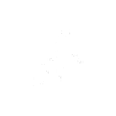 CC(C)[C@H](NC(=O)[C@@H]1C[C@@H](OC(F)F)CN1C(=O)CNC(=O)c1ccc(Oc2ccccc2)cc1)c1cc(C(=N)N)cs1